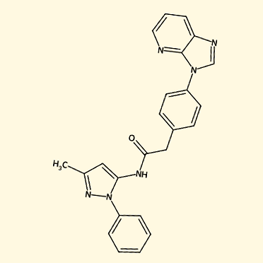 Cc1cc(NC(=O)Cc2ccc(-n3cnc4cccnc43)cc2)n(-c2ccccc2)n1